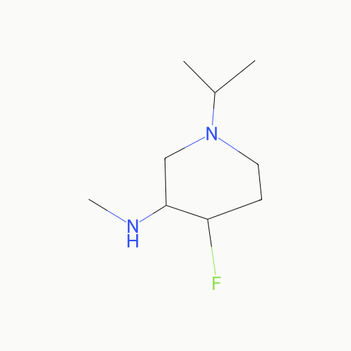 CNC1CN(C(C)C)CCC1F